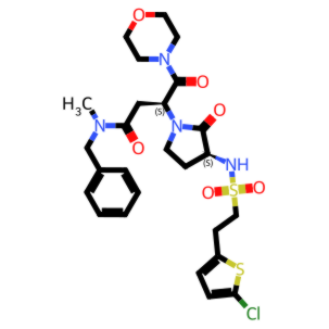 CN(Cc1ccccc1)C(=O)C[C@@H](C(=O)N1CCOCC1)N1CC[C@H](NS(=O)(=O)CCc2ccc(Cl)s2)C1=O